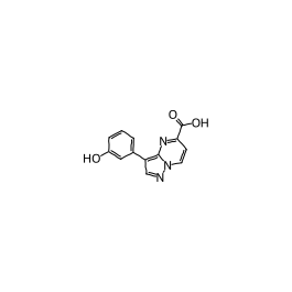 O=C(O)c1ccn2ncc(-c3cccc(O)c3)c2n1